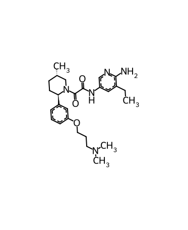 CCc1cc(NC(=O)C(=O)N2C[C@@H](C)CC[C@@H]2c2cccc(OCCCN(C)C)c2)cnc1N